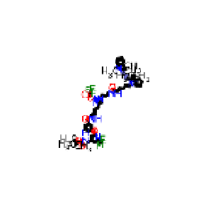 CN1/C(=C/C=C/C2=[N+](CCCCCC(=O)NCCCn3cc(CCCCNC(=O)c4cccc(Oc5cc(CNC(=O)OC(C)(C)C)cc(C(F)(F)F)n5)c4)nn3)c3ccccc3C2(C)C)C(C)(C)c2ccccc21.O=C([O-])C(F)(F)F